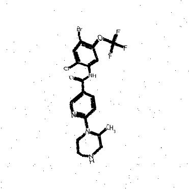 CC1CNCCN1c1ccc(C(=O)Nc2cc(OC(F)(F)F)c(Br)cc2Cl)cn1